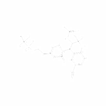 CC(=O)OC1C(n2ccc(CCO[Si](C)(C)C(C)(C)C)cc2=O)c2cc(C#N)ccc2OC1(C)C